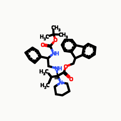 CC(C)[C@](NCC(NC(=O)OC(C)(C)C)c1ccccc1)(C(=O)OCC1c2ccccc2-c2ccccc21)N1CCCCC1